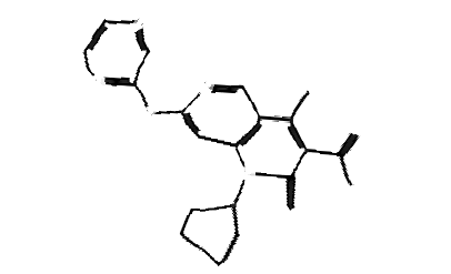 CC(=O)c1c(C)c2cnc(Nc3cnccn3)cc2n(C2CCCC2)c1=O